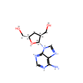 Nc1ncnc2c1ncn2[C@@H]1O[C@H](CO)C[C@H]1CO